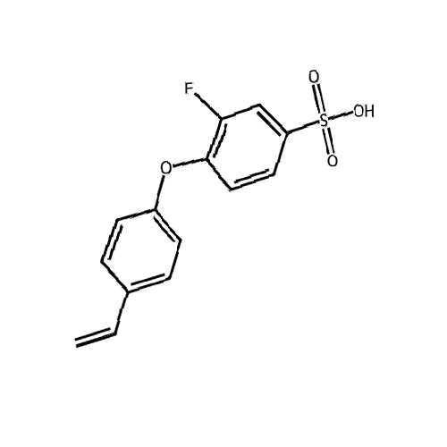 C=Cc1ccc(Oc2ccc(S(=O)(=O)O)cc2F)cc1